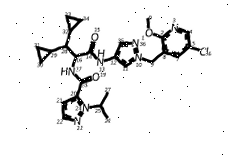 COc1ncc(Cl)cc1Cn1cc(NC(=O)C(NC(=O)c2ccnn2C(C)C)C(C2CC2)C2CC2)cn1